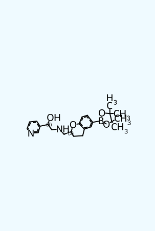 CC1(C)OB(c2ccc3c(c2)CC[C@@H](CNC[C@H](O)c2cccnc2)O3)OC1(C)C